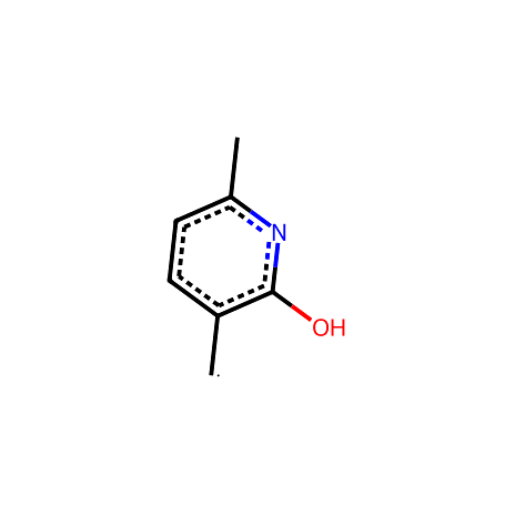 [CH2]c1ccc(C)nc1O